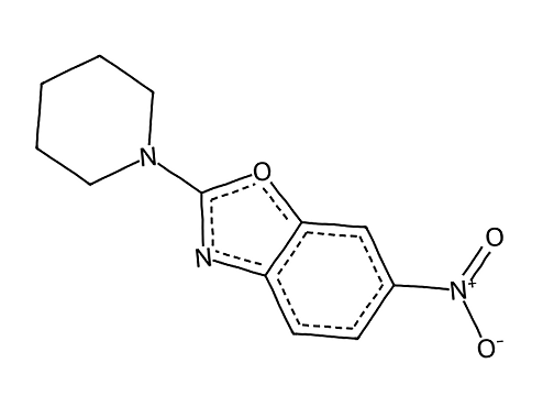 O=[N+]([O-])c1ccc2nc(N3CCCCC3)oc2c1